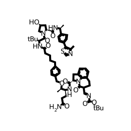 Cc1ncsc1-c1ccc([C@H](C)NC(=O)[C@@H]2C[C@H](O)CN2C(=O)[C@@H](NC(=O)CCCCc2ccc(CO[C@H](C)[C@H](CCC(N)=O)NC(=O)[C@@H]3Cc4cccc5c4N3C(=O)C(/C=N/C(=O)OC(C)(C)C)CC5)cc2)C(C)(C)C)cc1